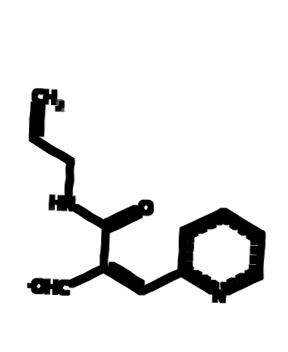 C=CCNC(=O)C([C]=O)=Cc1ccccn1